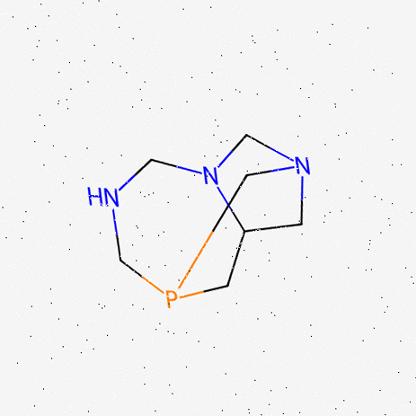 C1C2CP3CNCN2CN1C3